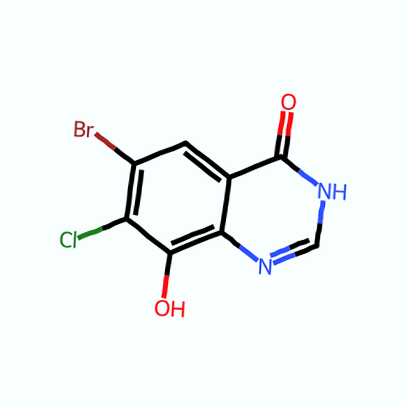 O=c1[nH]cnc2c(O)c(Cl)c(Br)cc12